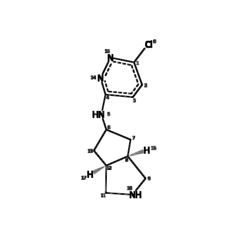 Clc1ccc(NC2C[C@H]3CNC[C@H]3C2)nn1